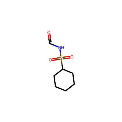 O=CNS(=O)(=O)C1CCCCC1